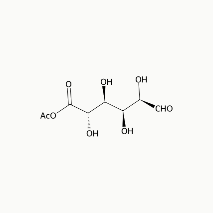 CC(=O)OC(=O)[C@@H](O)[C@@H](O)[C@H](O)[C@@H](O)C=O